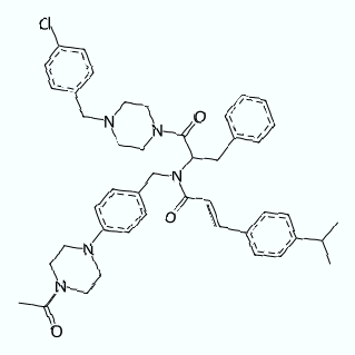 CC(=O)N1CCN(c2ccc(CN(C(=O)C=Cc3ccc(C(C)C)cc3)C(Cc3ccccc3)C(=O)N3CCN(Cc4ccc(Cl)cc4)CC3)cc2)CC1